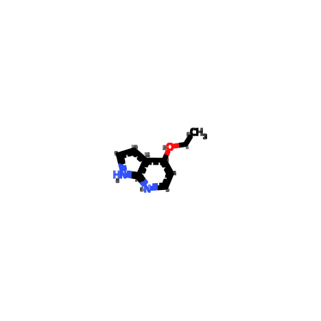 CCOc1ccnc2[nH]ccc12